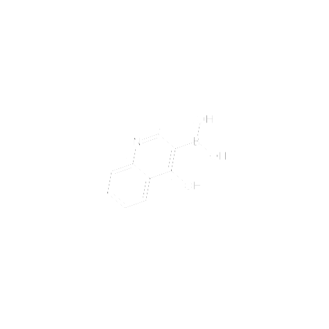 OB(O)c1cnc2ccccc2c1O